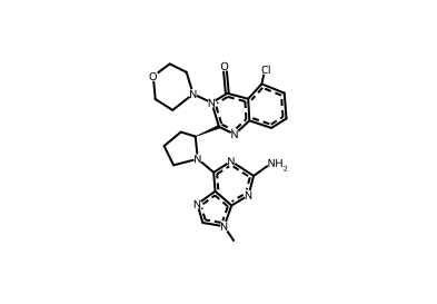 Cn1cnc2c(N3CCC[C@H]3c3nc4cccc(Cl)c4c(=O)n3N3CCOCC3)nc(N)nc21